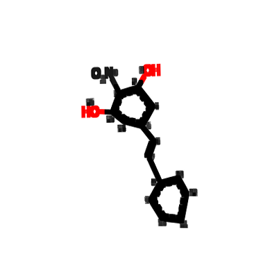 O=[N+]([O-])c1c(O)cc(C=Cc2ccccc2)cc1O